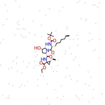 C=CCCCCC[C@@H](NC(=O)OC(C)(C)C)C(=O)N1C[C@@H](O)C[C@H]1C(=O)N[C@]1(C(=O)OCC)C[C@H]1C=C